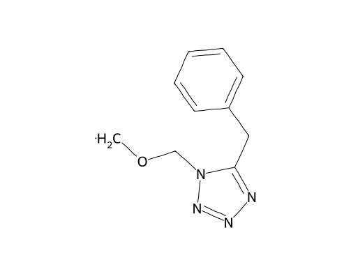 [CH2]OCn1nnnc1Cc1ccccc1